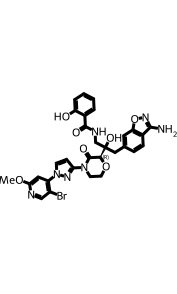 COc1cc(-n2ccc(N3CCO[C@H](C(O)(CNC(=O)c4ccccc4O)Cc4ccc5c(N)noc5c4)C3=O)n2)c(Br)cn1